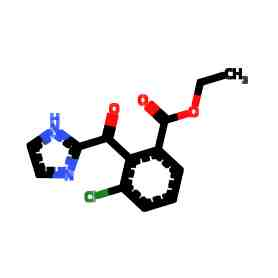 CCOC(=O)c1cccc(Cl)c1C(=O)c1ncc[nH]1